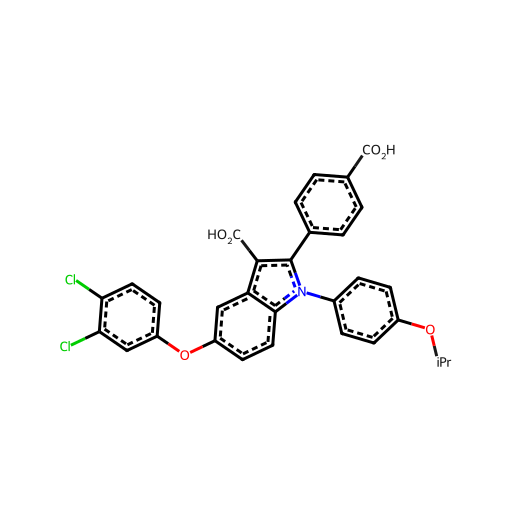 CC(C)Oc1ccc(-n2c(-c3ccc(C(=O)O)cc3)c(C(=O)O)c3cc(Oc4ccc(Cl)c(Cl)c4)ccc32)cc1